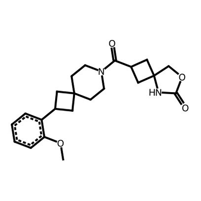 COc1ccccc1C1CC2(CCN(C(=O)C3CC4(COC(=O)N4)C3)CC2)C1